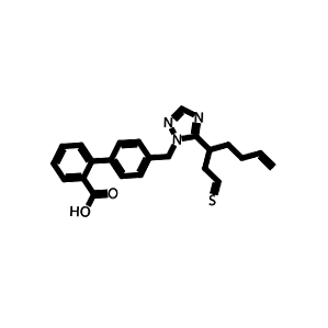 C=CCCC(CC=S)c1ncnn1Cc1ccc(-c2ccccc2C(=O)O)cc1